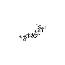 CCOC1OC(=O)C[C@@H]1NC(=O)C(C)n1ccc2cc(-c3ccc(N)c(Cl)c3)[nH]c2c1=O